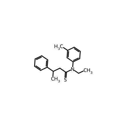 CCN(C(=S)CC(C)c1ccccc1)c1cccc(C)c1